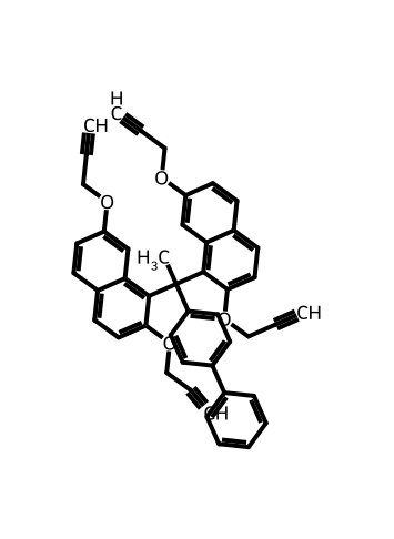 C#CCOc1ccc2ccc(OCC#C)c(C(C)(c3ccc(-c4ccccc4)cc3)c3c(OCC#C)ccc4ccc(OCC#C)cc34)c2c1